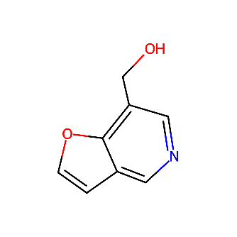 OCc1cncc2ccoc12